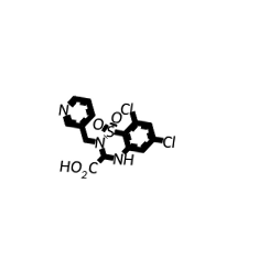 O=C(O)C1Nc2cc(Cl)cc(Cl)c2S(=O)(=O)N1Cc1cccnc1